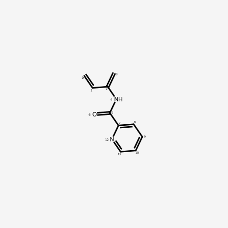 C=CC(=C)NC(=O)c1ccccn1